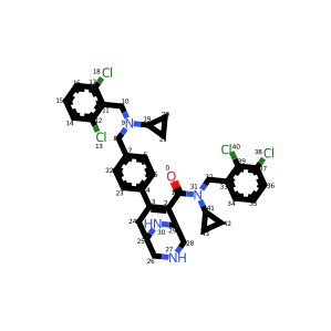 O=C(C1=C(c2ccc(CN(Cc3c(Cl)cccc3Cl)C3CC3)cc2)CC2CNCC1N2)N(Cc1cccc(Cl)c1Cl)C1CC1